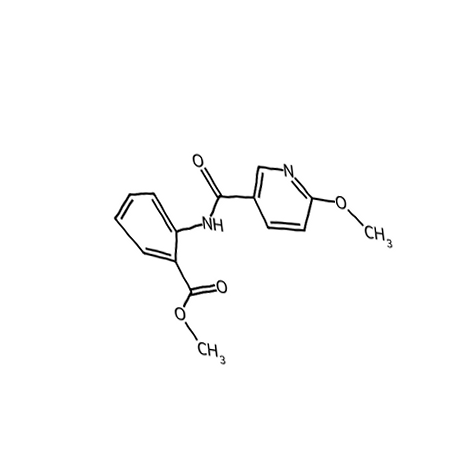 COC(=O)c1ccccc1NC(=O)c1ccc(OC)nc1